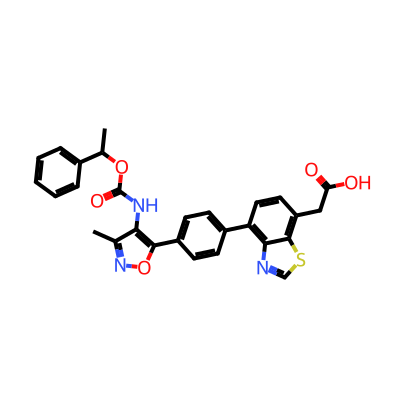 Cc1noc(-c2ccc(-c3ccc(CC(=O)O)c4scnc34)cc2)c1NC(=O)OC(C)c1ccccc1